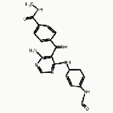 CNC(=O)c1ccc(C(=N)c2c(N)ncnc2NC2C=CC(NC=O)=CC2)cc1